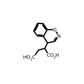 O=C(O)CC(C(=O)O)C1C=NOc2ccccc21